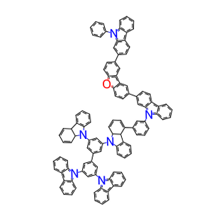 C1=CC2c3ccccc3N(c3cc(-c4cc(-n5c6ccccc6c6ccccc65)cc(-n5c6ccccc6c6ccccc65)c4)cc(N4c5ccccc5C5C(c6cccc(-n7c8ccccc8c8ccc(-c9ccc%10oc%11ccc(-c%12ccc%13c%14ccccc%14n(-c%14ccccc%14)c%13c%12)cc%11c%10c9)cc87)c6)=CC=CC54)c3)C2C=C1